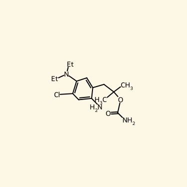 CCN(CC)c1cc(CC(C)(C)OC(N)=O)c(N)cc1Cl